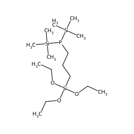 CCO[Si](CCCP([Si](C)(C)C)[Si](C)(C)C)(OCC)OCC